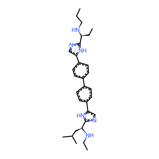 CCCN[C@@H](CC)c1ncc(-c2ccc(-c3ccc(-c4cnc([C@H](CC(C)C)NCC)[nH]4)cc3)cc2)[nH]1